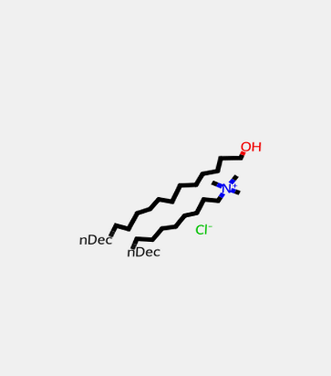 CCCCCCCCCCCCCCCCCCCCCCO.CCCCCCCCCCCCCCCCCC[N+](C)(C)C.[Cl-]